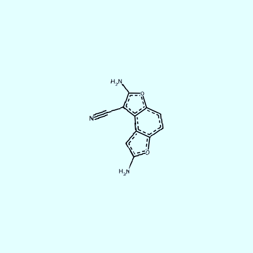 N#Cc1c(N)oc2ccc3oc(N)cc3c12